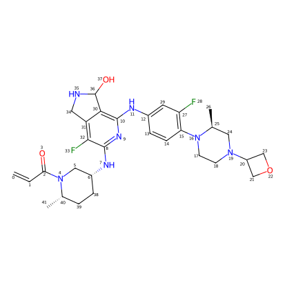 C=CC(=O)N1C[C@H](Nc2nc(Nc3ccc(N4CCN(C5COC5)C[C@@H]4C)c(F)c3)c3c(c2F)CNC3O)CC[C@@H]1C